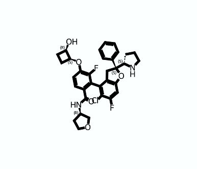 O=C(N[C@@H]1CCOC1)c1ccc(O[C@H]2CC[C@H]2O)c(F)c1-c1c(Cl)c(F)cc2c1C[C@](c1ccccc1)([C@@H]1CCCN1)O2